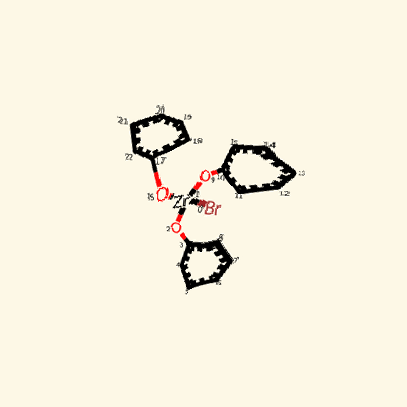 [Br][Zr]([O]c1ccccc1)([O]c1ccccc1)[O]c1ccccc1